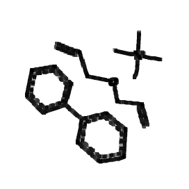 C=CCOCC=C.C[N+](C)(C)C.c1ccc(-c2ccccc2)cc1